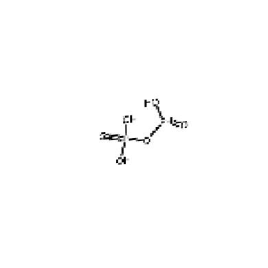 O=[PH](O)OP(O)(O)=S